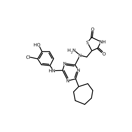 NN(CC1SC(=O)NC1=O)c1nc(Nc2ccc(O)c(Cl)c2)nc(C2CCCCCC2)n1